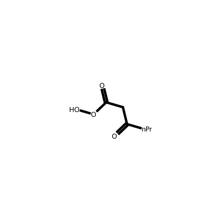 CCCC(=O)CC(=O)OO